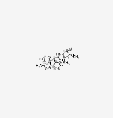 COc1cc(OC)c(NC(=O)Cn2c(=O)n(C(C(N)=O)C3CC3)c(=O)c3ccccc32)cc1Cl